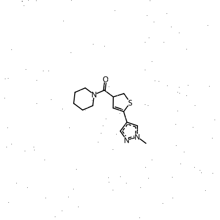 Cn1cc(C2=CC(C(=O)N3CCCCC3)CS2)cn1